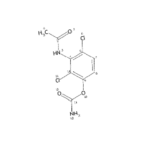 CC(=O)Nc1c(Cl)ccc(OC(N)=O)c1Cl